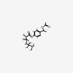 CC(=O)OC(C)c1ccc(OC(=O)N(C)C(C)(C)CC(C)(C)N(C)C)cc1